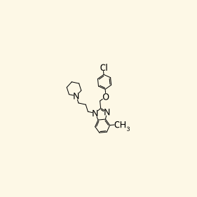 Cc1cccc2c1nc(COc1ccc(Cl)cc1)n2CCCN1CCCCC1